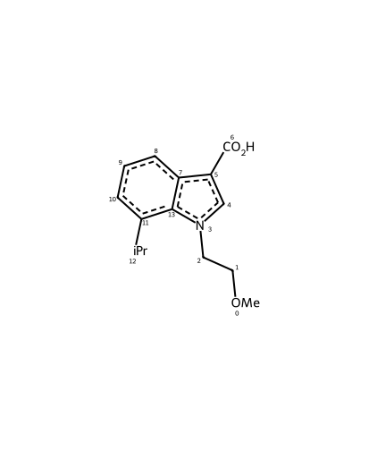 COCCn1cc(C(=O)O)c2cccc(C(C)C)c21